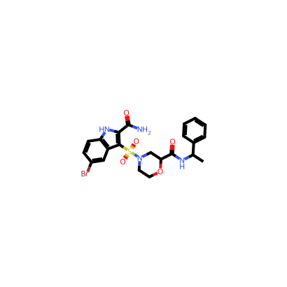 CC(NC(=O)C1CN(S(=O)(=O)c2c(C(N)=O)[nH]c3ccc(Br)cc23)CCO1)c1ccccc1